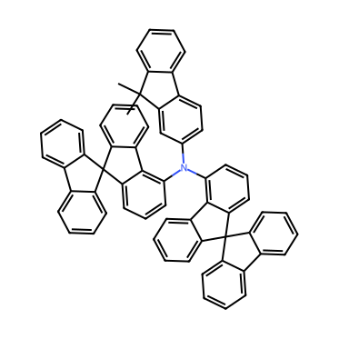 CC1(C)c2ccccc2-c2ccc(N(c3cccc4c3-c3ccccc3C43c4ccccc4-c4ccccc43)c3cccc4c3-c3ccccc3C43c4ccccc4-c4ccccc43)cc21